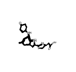 Cc1cc(NC2CCC(=O)CC2)c2[nH]c(C3=NC(CC(=O)O)CS3)cc2c1